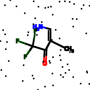 CC(=CN)C(=O)C(F)(F)F